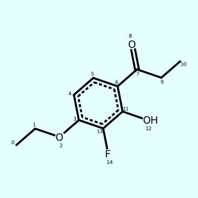 CCOc1ccc(C(=O)CC)c(O)c1F